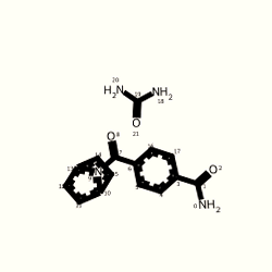 NC(=O)c1ccc(C(=O)n2c3ccc2cc3)cc1.NC(N)=O